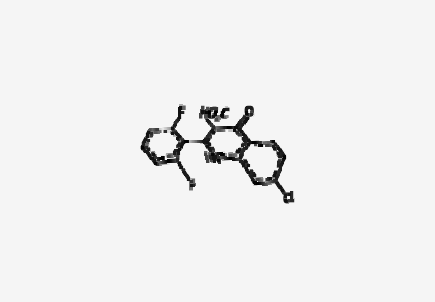 O=C(O)c1c(-c2c(F)cccc2F)[nH]c2cc(Cl)ccc2c1=O